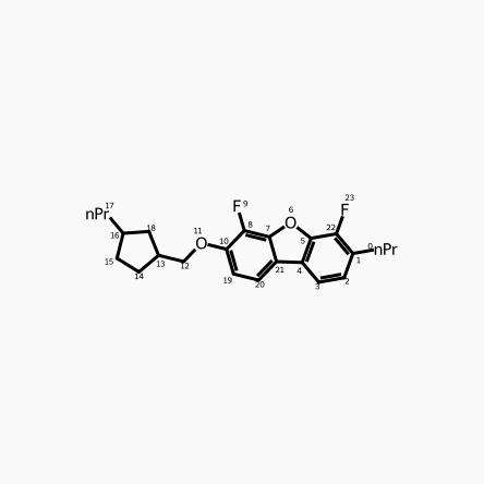 CCCc1ccc2c(oc3c(F)c(OCC4CCC(CCC)C4)ccc32)c1F